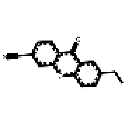 CCc1ccc2oc3cc(C#N)ccc3c(=O)c2c1